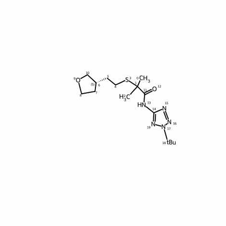 CC(C)(SCC[C@@H]1CCOC1)C(=O)Nc1nnn(C(C)(C)C)n1